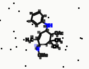 CO/N=C1\CC(C)(C)C(OC(C)=O)C(Nc2ccccc2)C=C1C